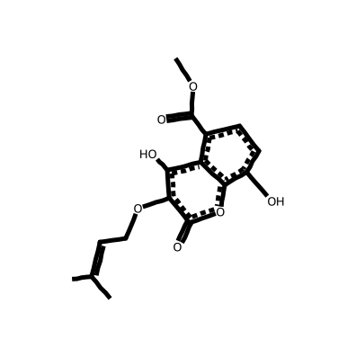 COC(=O)c1ccc(O)c2oc(=O)c(OCC=C(C)C)c(O)c12